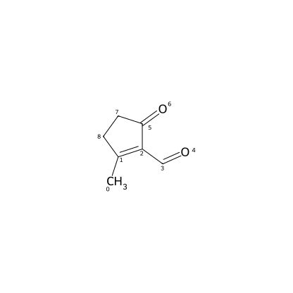 CC1=C(C=O)C(=O)CC1